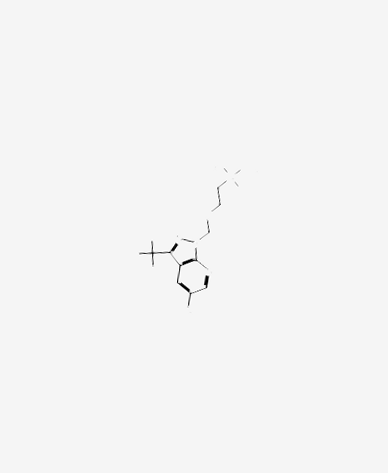 C[Si](C)(C)CCOCn1nc(C(F)(F)F)c2cc(Br)cnc21